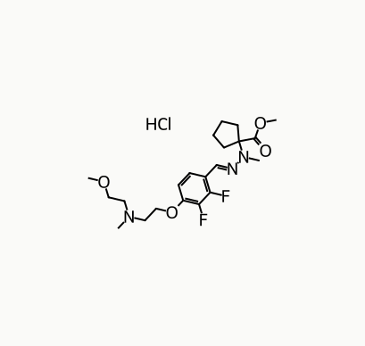 COCCN(C)CCOc1ccc(C=NN(C)C2(C(=O)OC)CCCC2)c(F)c1F.Cl